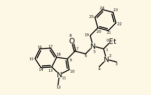 CCC(N(C)C)N(CC(=O)c1cn(C)c2ccccc12)Cc1ccccc1